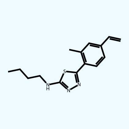 C=Cc1ccc(-c2nnc(NCCCC)s2)c(C)c1